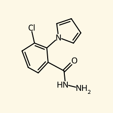 NNC(=O)c1cccc(Cl)c1-n1cccc1